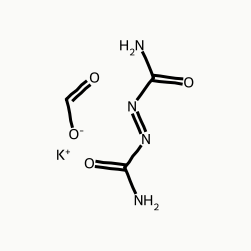 NC(=O)N=NC(N)=O.O=C[O-].[K+]